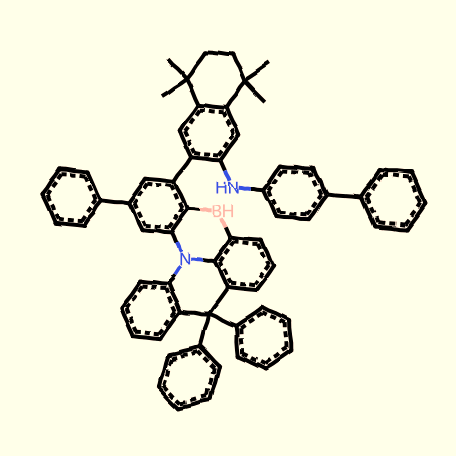 CC1(C)CCC(C)(C)c2cc(-c3cc(-c4ccccc4)cc4c3Bc3cccc5c3N4c3ccccc3C5(c3ccccc3)c3ccccc3)c(Nc3ccc(-c4ccccc4)cc3)cc21